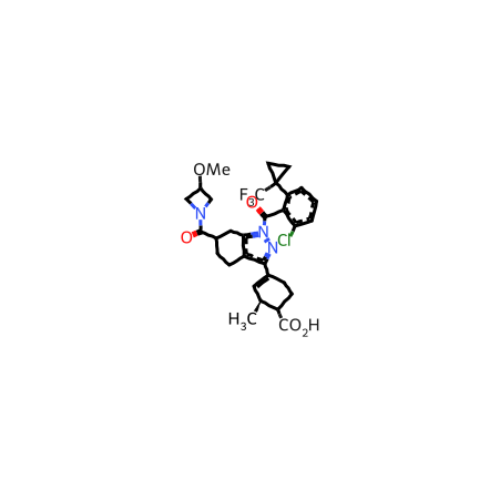 COC1CN(C(=O)C2CCc3c(C4=C[C@H](C)C(C(=O)O)CC4)nn(C(=O)c4c(Cl)cccc4C4(C(F)(F)F)CC4)c3C2)C1